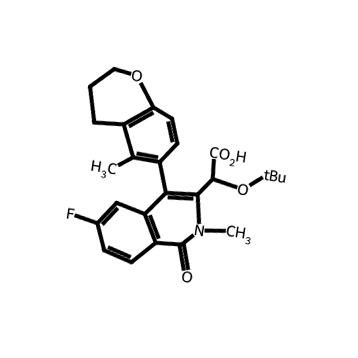 Cc1c(-c2c(C(OC(C)(C)C)C(=O)O)n(C)c(=O)c3ccc(F)cc23)ccc2c1CCCO2